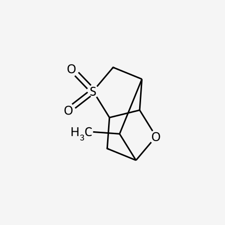 CC1C2CC3C(O2)C1CS3(=O)=O